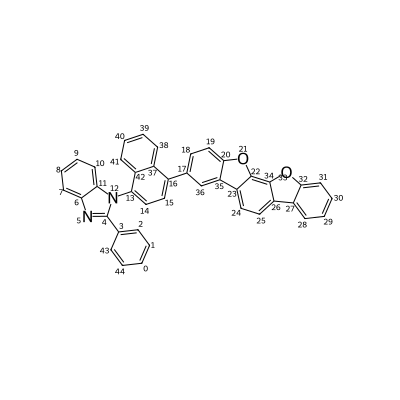 c1ccc(-c2nc3ccccc3n2-c2ccc(-c3ccc4oc5c(ccc6c7ccccc7oc65)c4c3)c3ccccc23)cc1